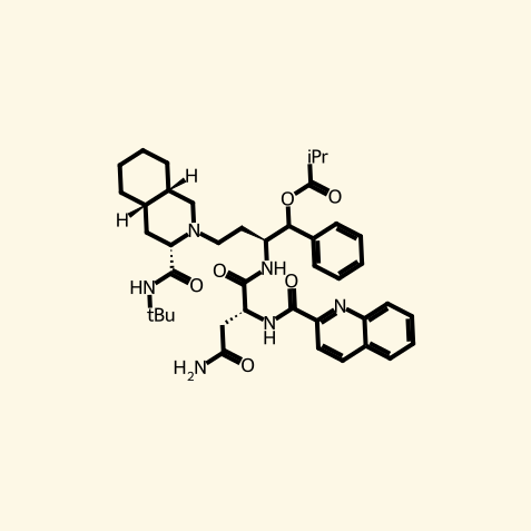 CC(C)C(=O)OC(c1ccccc1)[C@H](CCN1C[C@H]2CCCC[C@H]2C[C@H]1C(=O)NC(C)(C)C)NC(=O)[C@@H](CC(N)=O)NC(=O)c1ccc2ccccc2n1